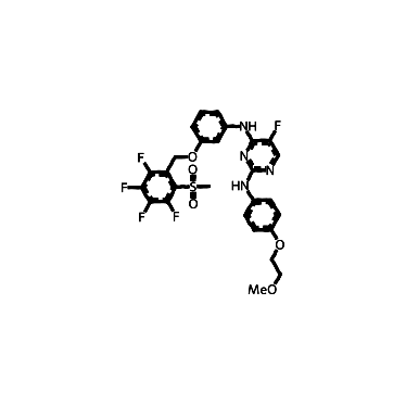 COCCOc1ccc(Nc2ncc(F)c(Nc3cccc(OCc4c(F)c(F)c(F)c(F)c4S(C)(=O)=O)c3)n2)cc1